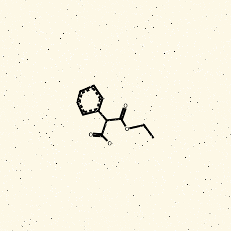 CCOC(=O)C(C([O])=O)c1ccccc1